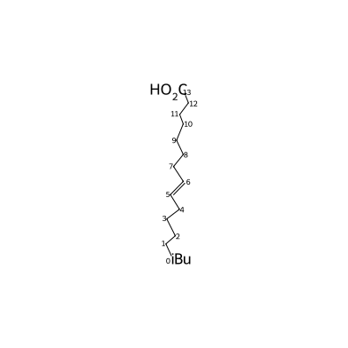 CCC(C)CCCCC=CCCCCCCC(=O)O